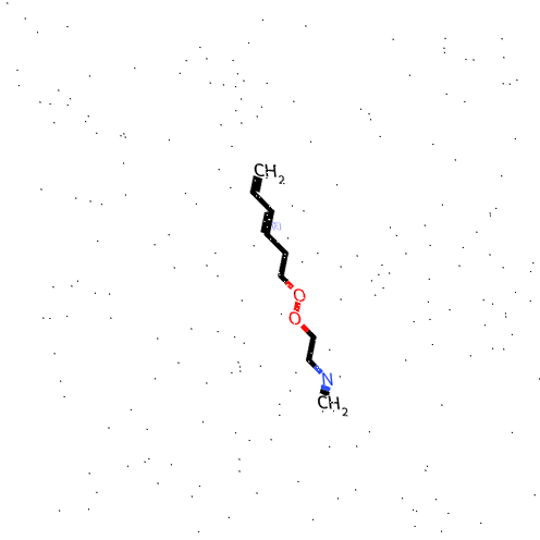 C=C/C=C/CCOOCCN=C